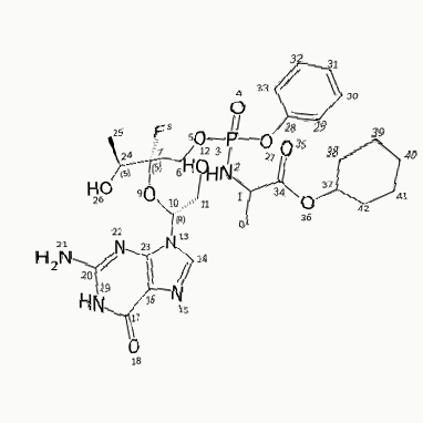 CC(NP(=O)(OC[C@@](F)(O[C@H](CO)n1cnc2c(=O)[nH]c(N)nc21)[C@H](C)O)Oc1ccccc1)C(=O)OC1CCCCC1